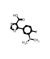 CN(C)c1cc(-c2ocnc2C(=O)O)ccc1F